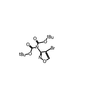 CC(C)(C)OC(=O)N(C(=O)OC(C)(C)C)c1nocc1Br